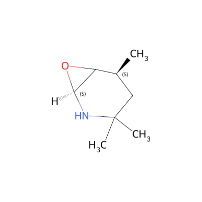 C[C@H]1CC(C)(C)N[C@H]2OC12